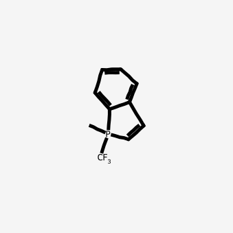 C[P]1(C(F)(F)F)C=Cc2ccccc21